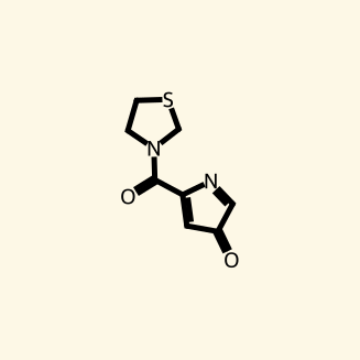 O=C1C=NC(C(=O)N2CCSC2)=C1